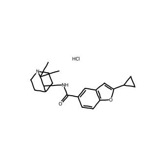 CC1(C)C(NC(=O)c2ccc3oc(C4CC4)cc3c2)C2CCN1CC2.Cl